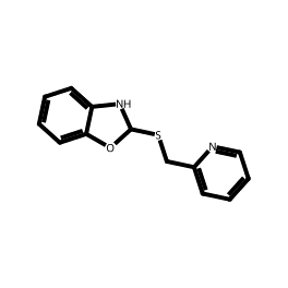 c1ccc(CS[C]2Nc3ccccc3O2)nc1